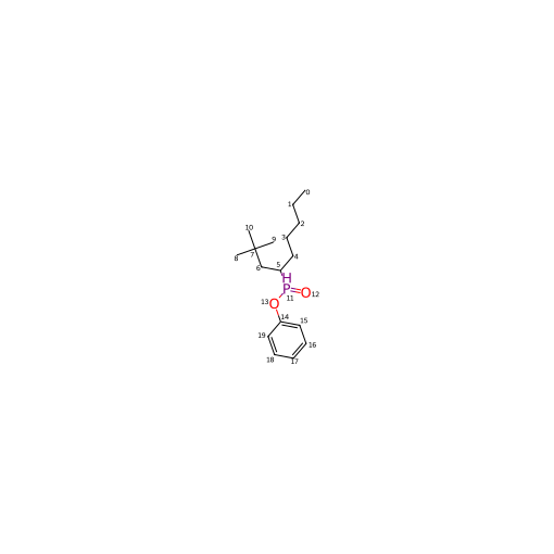 CCCCCC(CC(C)(C)C)[PH](=O)Oc1ccccc1